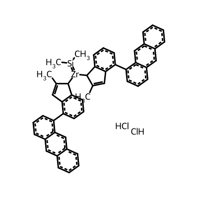 CC1=Cc2c(-c3cccc4cc5ccccc5cc34)cccc2[CH]1[Zr]([CH]1C(C)=Cc2c(-c3cccc4cc5ccccc5cc34)cccc21)=[Si](C)C.Cl.Cl